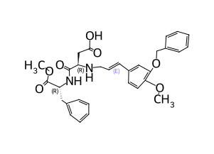 COC(=O)[C@@H](Cc1ccccc1)NC(=O)[C@@H](CC(=O)O)NC/C=C/c1ccc(OC)c(OCc2ccccc2)c1